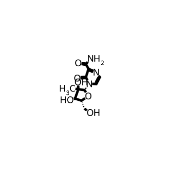 CC1(O)C(O)[C@@H](CO)O[C@H]1n1ccnc(C(N)=O)c1=O